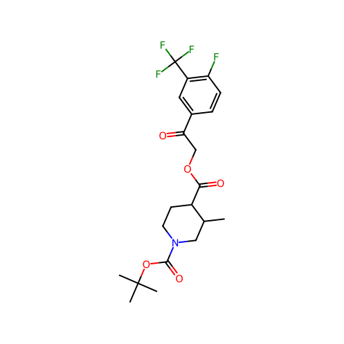 CC1CN(C(=O)OC(C)(C)C)CCC1C(=O)OCC(=O)c1ccc(F)c(C(F)(F)F)c1